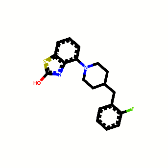 Oc1nc2c(N3CCC(Cc4ccccc4F)CC3)cccc2s1